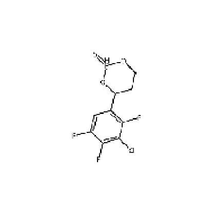 Fc1cc(C2CCO[PH](=S)O2)c(F)c(Cl)c1F